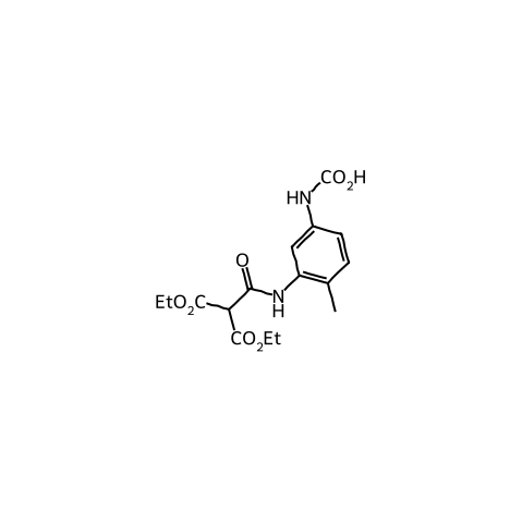 CCOC(=O)C(C(=O)Nc1cc(NC(=O)O)ccc1C)C(=O)OCC